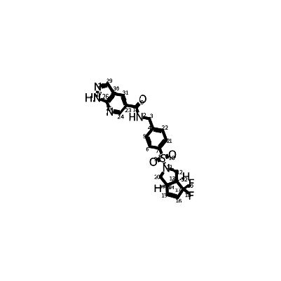 O=C(NCc1ccc(S(=O)(=O)N2C[C@@H]3[C@@H](C=CC3(F)F)C2)cc1)c1cnc2[nH]ncc2c1